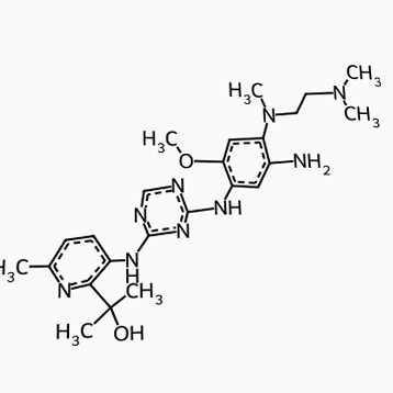 COc1cc(N(C)CCN(C)C)c(N)cc1Nc1ncnc(Nc2ccc(C)nc2C(C)(C)O)n1